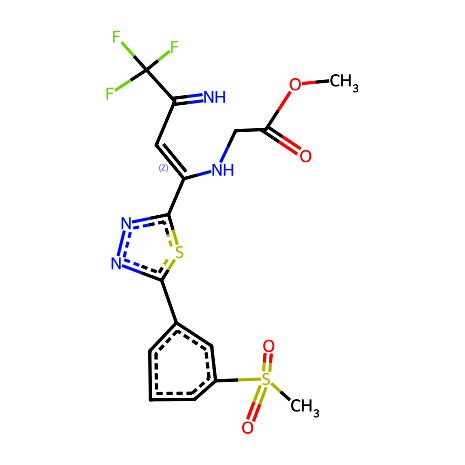 COC(=O)CN/C(=C\C(=N)C(F)(F)F)c1nnc(-c2cccc(S(C)(=O)=O)c2)s1